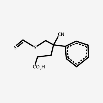 N#CC(CCC(=O)O)(CSC=S)c1ccccc1